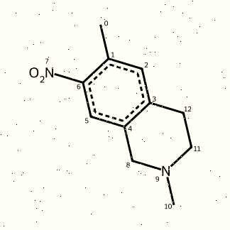 Cc1cc2c(cc1[N+](=O)[O-])CN(C)CC2